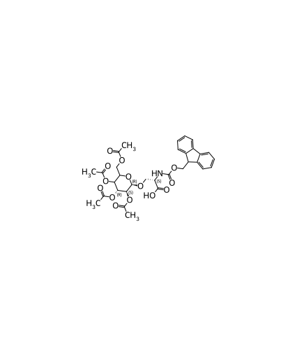 CC(=O)OCC1O[C@@H](OC[C@H](NC(=O)OCC2c3ccccc3-c3ccccc32)C(=O)O)[C@@H](OC(C)=O)[C@H](OC(C)=O)C1OC(C)=O